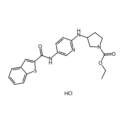 CCOC(=O)N1CCC(Nc2ccc(NC(=O)c3cc4ccccc4s3)cn2)C1.Cl